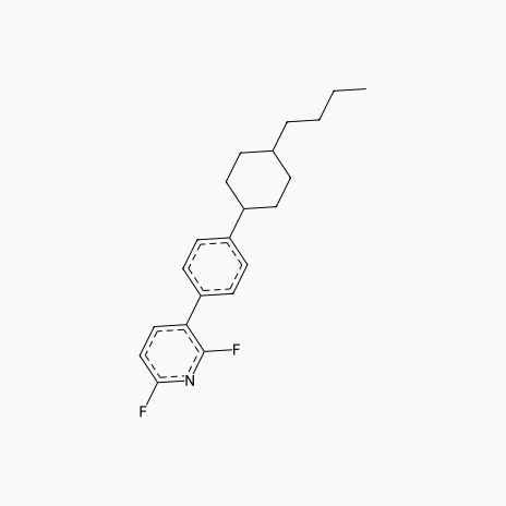 CCCCC1CCC(c2ccc(-c3ccc(F)nc3F)cc2)CC1